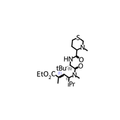 CCOC(=O)/C(C)=C/[C@H](C(C)C)N(C)C(=O)[C@@H](NC(=O)C1CCSCN1C)C(C)(C)C